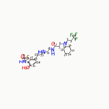 O=C(CCN(CCC(F)(F)F)C1CCCCC1)NCCNCCc1ccc(O)c2[nH]c(=O)sc12